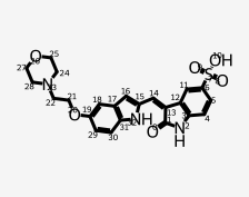 O=C1Nc2ccc(S(=O)(=O)O)cc2C1=Cc1cc2cc(OCCN3CCOCC3)ccc2[nH]1